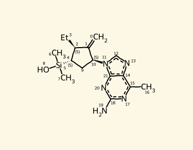 C=C1[C@H](CC)[C@@H]([Si](C)(C)O)C[C@@H]1n1cnc2c(C)nc(N)nc21